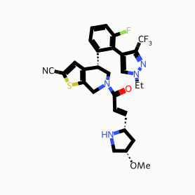 CCn1cc(-c2c(F)cccc2[C@@H]2CN(C(=O)/C=C/[C@@H]3C[C@H](OC)CN3)Cc3sc(C#N)cc32)c(C(F)(F)F)n1